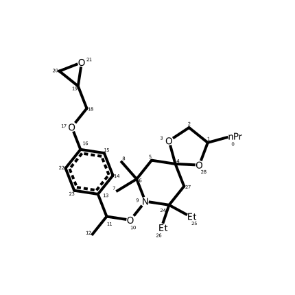 CCCC1COC2(CC(C)(C)N(OC(C)c3ccc(OCC4CO4)cc3)C(CC)(CC)C2)O1